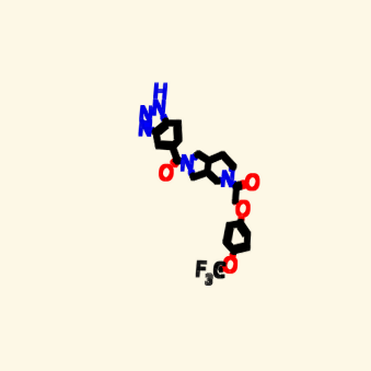 O=C(COc1ccc(OC(F)(F)F)cc1)N1CCC2CN(C(=O)c3ccc4[nH]nnc4c3)CC2C1